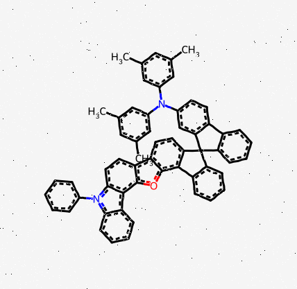 Cc1cc(C)cc(N(c2cc(C)cc(C)c2)c2ccc3c(c2)C2(c4ccccc4-3)c3ccccc3-c3c2ccc2c3oc3c2ccc2c3c3ccccc3n2-c2ccccc2)c1